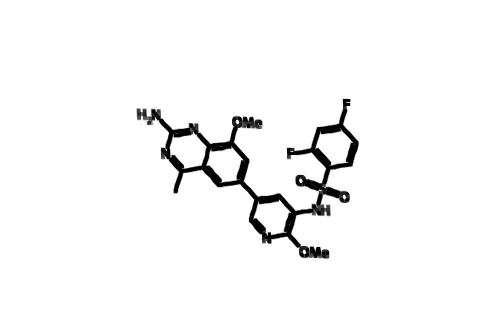 COc1ncc(-c2cc(OC)c3nc(N)nc(C)c3c2)cc1NS(=O)(=O)c1ccc(F)cc1F